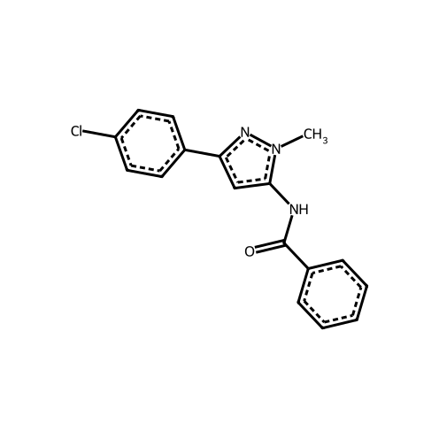 Cn1nc(-c2ccc(Cl)cc2)cc1NC(=O)c1ccccc1